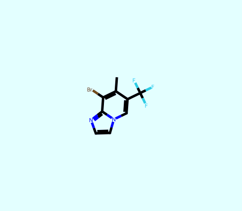 Cc1c(C(F)(F)F)cn2ccnc2c1Br